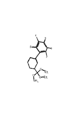 CCOC(O[SiH3])(OCC)C1CCCC(c2c(F)c(F)c(F)c(F)c2F)C1